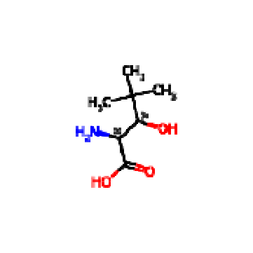 CC(C)(C)[C@@H](O)[C@H](N)C(=O)O